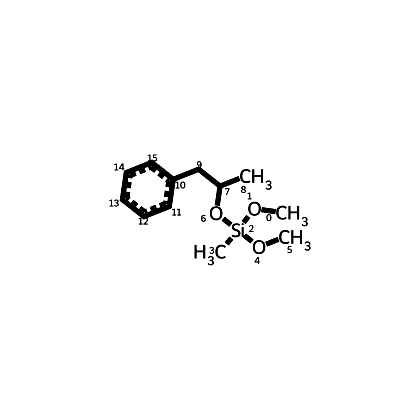 CO[Si](C)(OC)OC(C)Cc1ccccc1